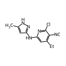 [C-]#[N+]c1c(CC)cc(Nc2cc(C)[nH]n2)nc1Cl